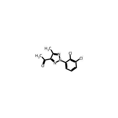 CC(=O)c1nn(-c2cccc(Cl)c2Cl)nc1C